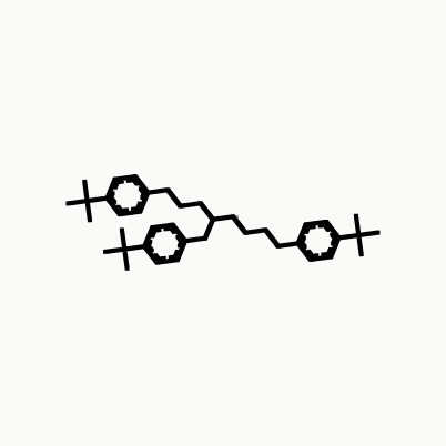 CC(C)(C)c1ccc(CCC[CH]C(CCCc2ccc(C(C)(C)C)cc2)Cc2ccc(C(C)(C)C)cc2)cc1